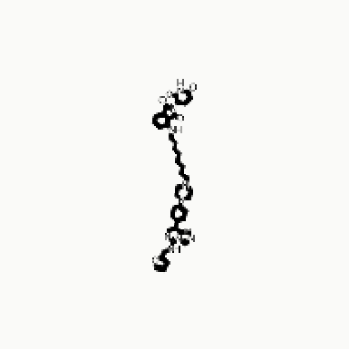 O=C1CCC(N2C(=O)c3cccc(NCCCCCCCCN4CCN(c5ccc(-c6cnc(NCc7ccco7)n7cnnc67)cc5)CC4)c3C2=O)C(=O)N1